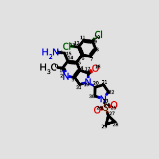 Cc1nc2c(c(-c3ccc(Cl)cc3Cl)c1CN)C(=O)N([C@H]1CCN(S(=O)(=O)C3CC3)C1)C2